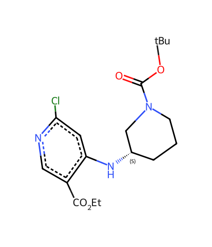 CCOC(=O)c1cnc(Cl)cc1N[C@H]1CCCN(C(=O)OC(C)(C)C)C1